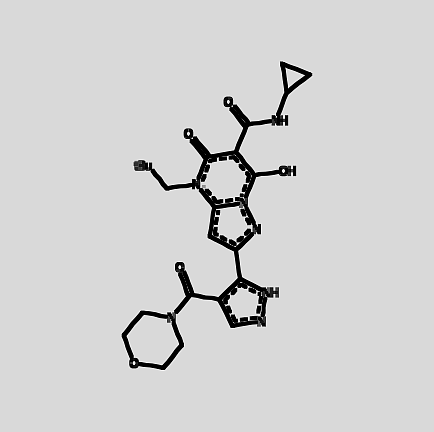 CC(C)(C)Cn1c(=O)c(C(=O)NC2CC2)c(O)n2nc(-c3[nH]ncc3C(=O)N3CCOCC3)cc12